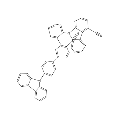 N#Cc1ccc(-c2ccc(-n3c4ccccc4c4ccccc43)cc2)cc1-c1ccccc1-n1c2ccccc2c2c(C#N)cccc21